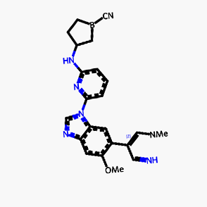 CN/C=C(\C=N)c1cc2c(cc1OC)ncn2-c1cccc(NC2CCB(C#N)C2)n1